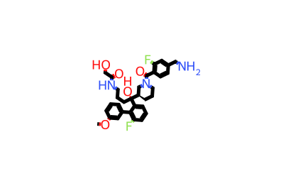 COc1cccc(-c2c(F)cccc2[C@](O)(CCCNC(=O)CO)[C@@H]2CCCN(C(=O)c3ccc(CN)cc3F)C2)c1